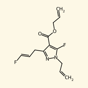 C=CCOC(=O)c1c(CC=CF)nn(CC=C)c1F